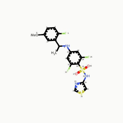 COc1ccc(F)c(C(C)Nc2cc(F)c(S(=O)(=O)Nc3cscn3)c(F)c2)c1